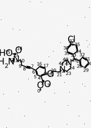 COC(=O)c1cc(C#CCCN(N)C(=O)O)ccc1OCCN1CCN(C(c2ccccc2)c2ccc(Cl)cc2)CC1